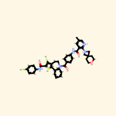 Cc1cnc(N2CC3(CCOCC3)C2)c(C(=O)Nc2ccc(C(=O)N3CCc4c(sc(C(=O)Nc5ccc(F)cc5)c4F)-c4ccccc43)cc2)c1